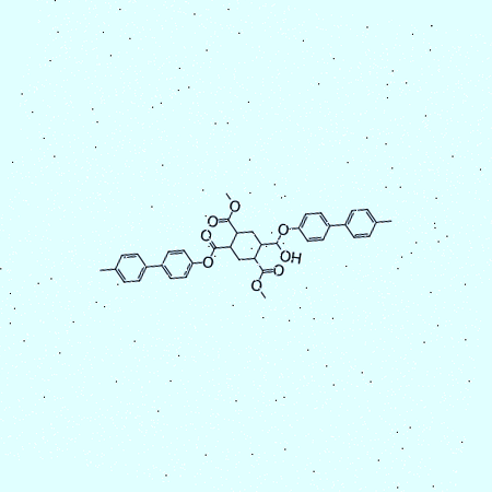 COC(=O)C1CC(C(O)Oc2ccc(-c3ccc(C)cc3)cc2)C(C(=O)OC)CC1C(=O)Oc1ccc(-c2ccc(C)cc2)cc1